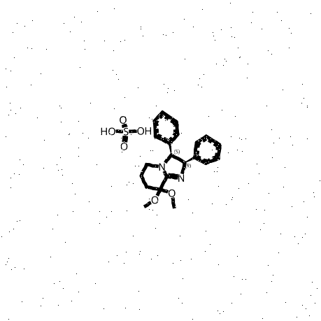 COC1(OC)CCCN2C1=N[C@H](c1ccccc1)[C@@H]2c1ccccc1.O=S(=O)(O)O